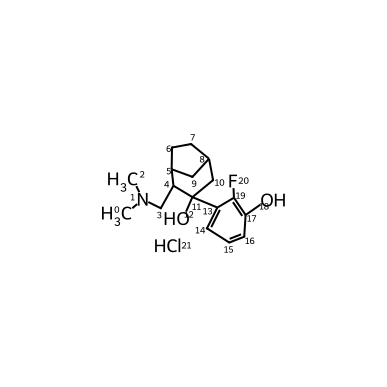 CN(C)CC1C2CCC(C2)CC1(O)c1cccc(O)c1F.Cl